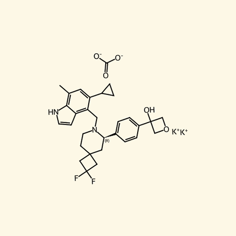 Cc1cc(C2CC2)c(CN2CCC3(C[C@@H]2c2ccc(C4(O)COC4)cc2)CC(F)(F)C3)c2cc[nH]c12.O=C([O-])[O-].[K+].[K+]